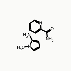 Cn1cccc1N.NC(=O)c1ccccn1